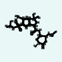 COC[C@H]1CN[C@H](C)CN1CC(=O)N1CC(C)(C)c2cc(F)c(S(=O)(=O)CC(C)C)cc21